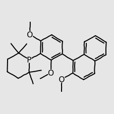 COc1ccc(-c2c(OC)ccc3ccccc23)c(OC)c1P1C(C)(C)CCCC1(C)C